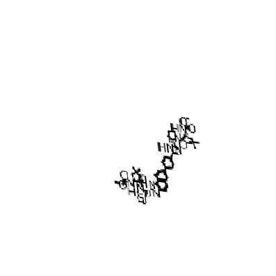 COC(=O)N[C@@H](CC(C)(C)C)C(=O)N1CCC[C@H]1c1ncc(-c2ccc(-c3ccc4c(ccc5nc([C@@H]6C[Si](C)(C)CN6C(=O)[C@H](CC(C)(C)C)NC(=O)OC)[nH]c54)c3)cc2)[nH]1